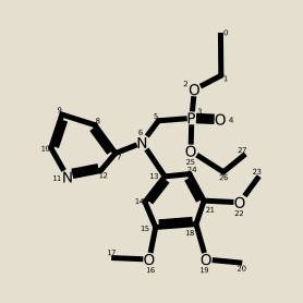 CCOP(=O)(CN(c1cccnc1)c1cc(OC)c(OC)c(OC)c1)OCC